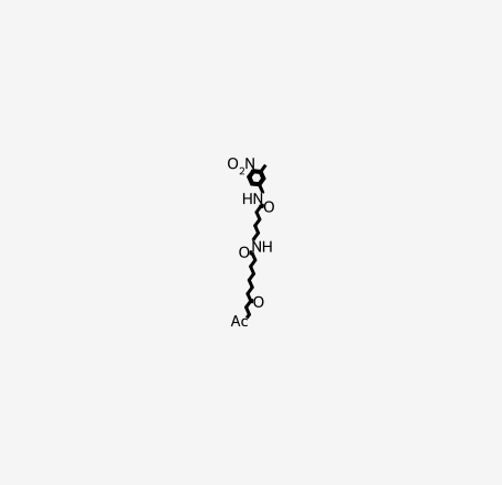 CC(=O)CCC(=O)CCCCCCC(=O)NCCCCCC(=O)NCc1ccc([N+](=O)[O-])c(C)c1